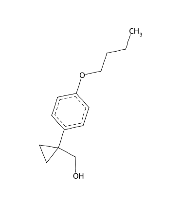 CCCCOc1ccc(C2(CO)CC2)cc1